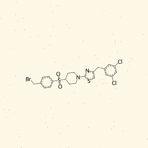 O=S(=O)(c1ccc(CBr)cc1)C1CCN(c2nc(Cc3cc(Cl)cc(Cl)c3)cs2)CC1